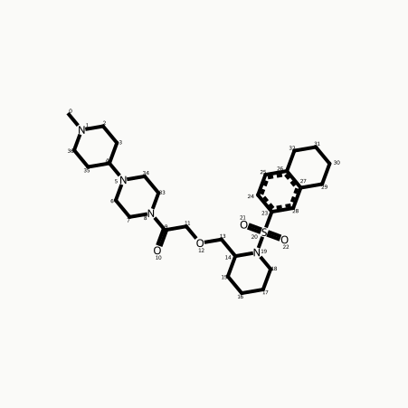 CN1CCC(N2CCN(C(=O)COCC3CCCCN3S(=O)(=O)c3ccc4c(c3)CCCC4)CC2)CC1